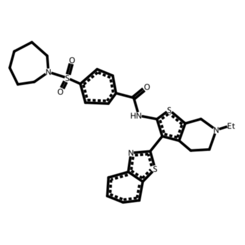 CCN1CCc2c(sc(NC(=O)c3ccc(S(=O)(=O)N4CCCCCC4)cc3)c2-c2nc3ccccc3s2)C1